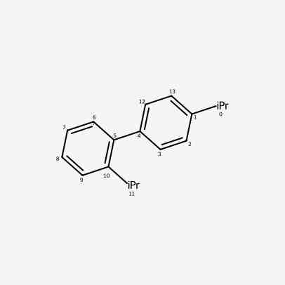 CC(C)c1ccc(-c2[c]cccc2C(C)C)cc1